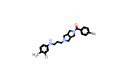 CC(=O)c1ccc(C(=O)N2CC3CN(CCCNc4ccc(C)c(Cl)c4)CC3C2)cc1